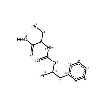 COC(=O)C(CC(C)C)NC(=O)OC(Cc1ccccc1)C(C)C